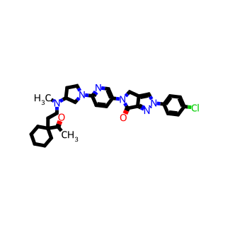 CC(=O)C1(CCN(C)C2CCN(c3ccc(N4Cc5cn(-c6ccc(Cl)cc6)nc5C4=O)cn3)C2)CCCCC1